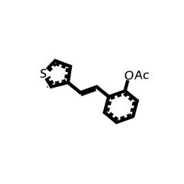 CC(=O)Oc1ccccc1/C=C/c1[c]scc1